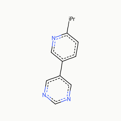 CC(C)c1ccc(-c2cncnc2)cn1